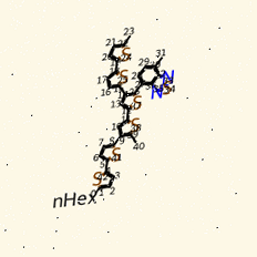 CCCCCCc1ccc(-c2ccc(-c3cc(-c4cc(-c5ccc(-c6ccc(C)s6)s5)c(-c5ccc(C)c6nsnc56)s4)sc3C)s2)s1